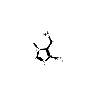 Cn1cnc(C(F)(F)F)c1CO